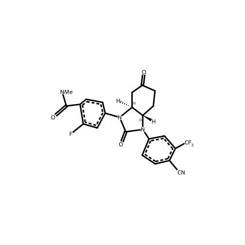 CNC(=O)c1ccc(N2C(=O)N(c3ccc(C#N)c(C(F)(F)F)c3)[C@H]3CCC(=O)C[C@@H]32)cc1F